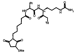 [2H]CC(=O)[C@H](CCCNC(N)=O)NC(=O)C(NC(=O)CCCCCN1C(=O)CC(SC)C1=O)C(C)C